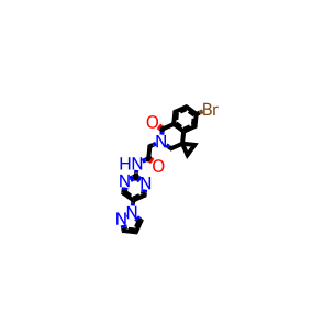 O=C(CN1CC2(CC2)c2cc(Br)ccc2C1=O)Nc1ncc(-n2cccn2)cn1